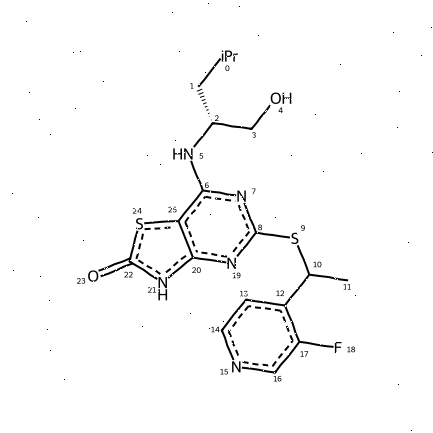 CC(C)C[C@H](CO)Nc1nc(SC(C)c2ccncc2F)nc2[nH]c(=O)sc12